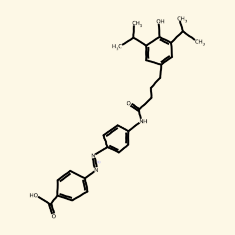 CC(C)c1cc(CCCC(=O)Nc2ccc(/N=N/c3ccc(C(=O)O)cc3)cc2)cc(C(C)C)c1O